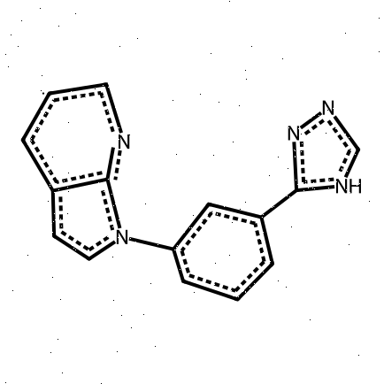 [c]1cnc2c(c1)ccn2-c1cccc(-c2nnc[nH]2)c1